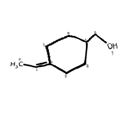 CC=C1CCC(CO)CC1